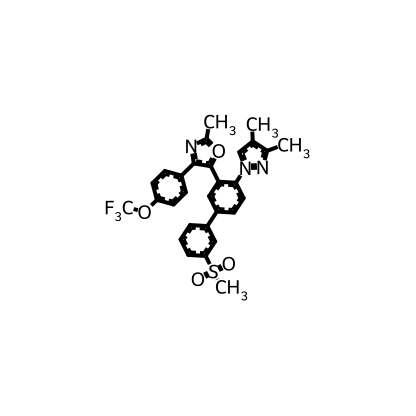 Cc1nc(-c2ccc(OC(F)(F)F)cc2)c(-c2cc(-c3cccc(S(C)(=O)=O)c3)ccc2-n2cc(C)c(C)n2)o1